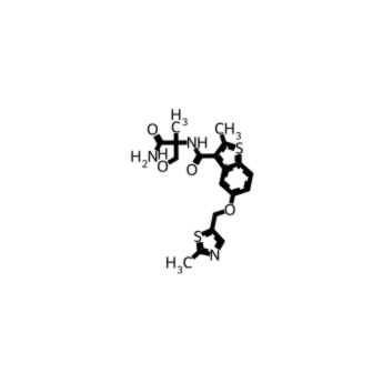 Cc1ncc(COc2ccc3sc(C)c(C(=O)NC(C)(CO)C(N)=O)c3c2)s1